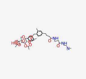 CC(=O)O[C@@H]1[C@@H](OC(C)=O)[C@@]2(c3ccc(C)c(Cc4ccc(CCCC(=O)NCCC(=O)NCCN(C)C)cc4C)c3)OC[C@](C(C)(C)O)(O2)[C@H]1OC(C)=O